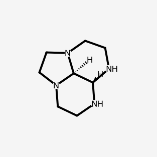 C1CN2CCN3CCN[C@H](N1)[C@H]32